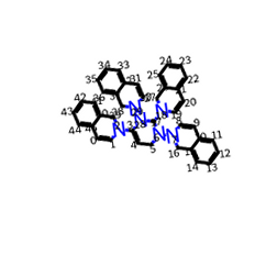 C1=CN(C2=CCN(N3C=Cc4ccccc4C3)C(N3C=Cc4ccccc4C3)N2N2C=Cc3ccccc3C2)Cc2ccccc21